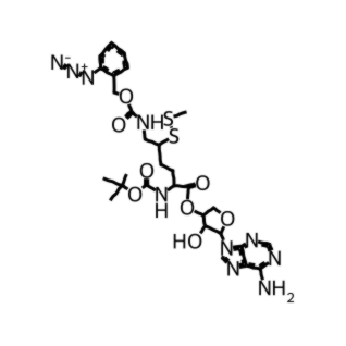 CSSC(CCC(NC(=O)OC(C)(C)C)C(=O)OC1COC(n2cnc3c(N)ncnc32)C1O)CNC(=O)OCc1ccccc1N=[N+]=[N-]